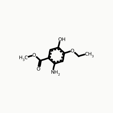 CCOc1cc(N)c(C(=O)OC)cc1O